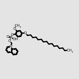 CCCCCCCCCCCCCCCCOc1ccc(OP(=O)(O)OC[n+]2cccc3ccccc32)c(OC)c1